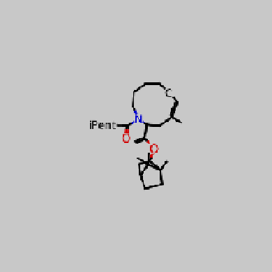 C=C(OC1CC2CCC1(C)C2(C)C)C1CC(C)=CCCCCCN1C(=O)C(C)CCC